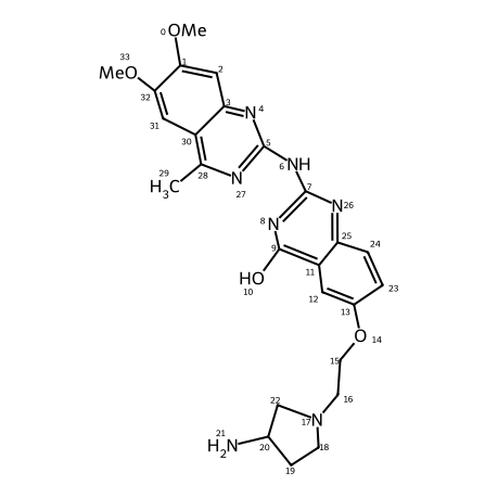 COc1cc2nc(Nc3nc(O)c4cc(OCCN5CCC(N)C5)ccc4n3)nc(C)c2cc1OC